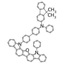 CC1(C)c2ccccc2-c2ccc(N(c3ccccc3)c3ccc(-c4ccc(-n5c6ccccc6c6ccc7c8ccc9c%10ccccc%10n(-c%10ccccc%10)c9c8oc7c65)cc4)cc3)cc21